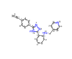 C#Cc1ccc(-c2nnc(-c3ccccc3NCc3ccncc3)[nH]2)cc1